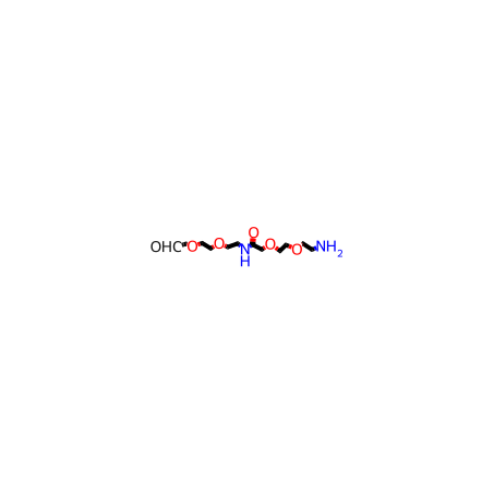 NCCOCCOCC(=O)NCCOCCOCC=O